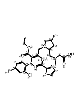 CCOC(=O)C1=C(CN2CC(F)CC2CN(C)CC(=O)O)NC(c2nccs2)=N[C@H]1c1ccc(F)cc1Cl